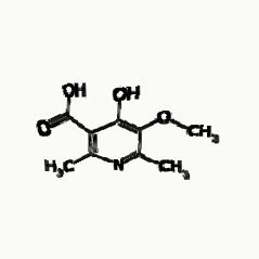 COc1c(C)nc(C)c(C(=O)O)c1O